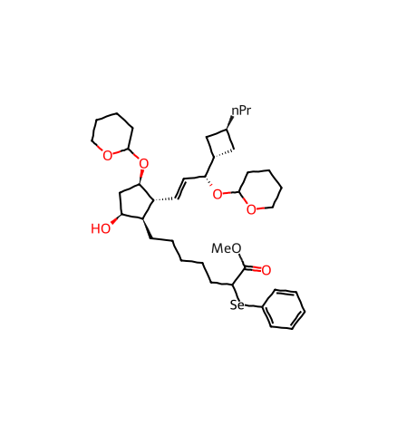 CCC[C@H]1C[C@H]([C@@H](C=C[C@@H]2[C@@H](CCCCCC([Se]c3ccccc3)C(=O)OC)[C@@H](O)C[C@H]2OC2CCCCO2)OC2CCCCO2)C1